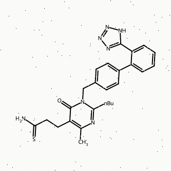 CCCCc1nc(C)c(CCC(N)=S)c(=O)n1Cc1ccc(-c2ccccc2-c2nnn[nH]2)cc1